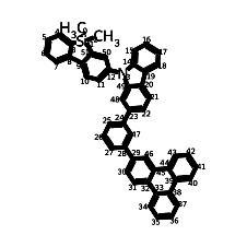 C[Si]1(C)c2ccccc2-c2ccc(-n3c4ccccc4c4ccc(-c5cccc(-c6ccc7c8ccccc8c8ccccc8c7c6)c5)cc43)cc21